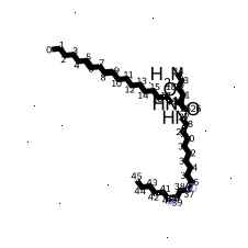 CCCCCC=CCC=CCCCCCCCC(=O)NC(CCCN)C(=O)NCCCCCCCC/C=C\C/C=C\CCCCC